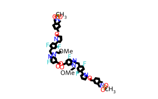 COCCn1c(Cc2cc(F)c(-c3cccc(OCc4ccc5c(c4)CN(S(C)(=O)=O)C5)n3)cc2F)nc2c(F)cc(C(=O)OC(=O)c3cc(F)c4nc(Cc5cc(F)c(-c6cccc(OCc7ccc8c(c7)CN(S(C)(=O)=O)C8)n6)cc5F)n(CCOC)c4c3)cc21